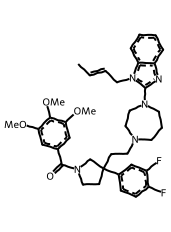 C/C=C/Cn1c(N2CCCN(CCC3(c4ccc(F)c(F)c4)CCN(C(=O)c4cc(OC)c(OC)c(OC)c4)C3)CC2)nc2ccccc21